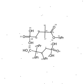 CCCC(CP(=O)(O)O)C(CCC)(CCC)C(=O)O.CCCOC(=O)C(C)(C)CCP(=O)(O)O